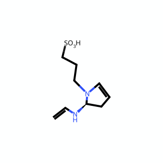 C=CN[C@@H]1CC=CN1CCCS(=O)(=O)O